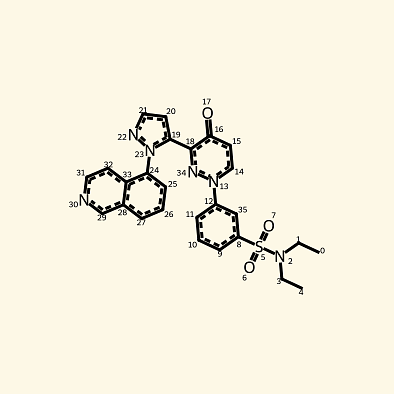 CCN(CC)S(=O)(=O)c1cccc(-n2ccc(=O)c(-c3ccnn3-c3cccc4cnccc34)n2)c1